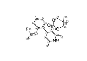 CC1=CC(c2ccccc2OC(F)F)C(P2(=O)OCC(C)(C)CO2)=C(C)N1